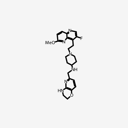 COc1ccc2ncc(F)c(CCN3CCC(NCc4ccc5c(n4)NCCO5)CC3)c2n1